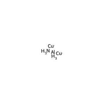 N.[AlH3].[Cu].[Cu]